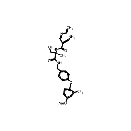 C=C/N=C\C(=C/N)C(=O)N[C@@](C)(CO)C(=O)NCc1ccc(Oc2ccc(OC)cc2C(F)(F)F)cc1